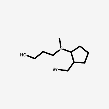 CC(C)CC1CCCC1N(C)CCCO